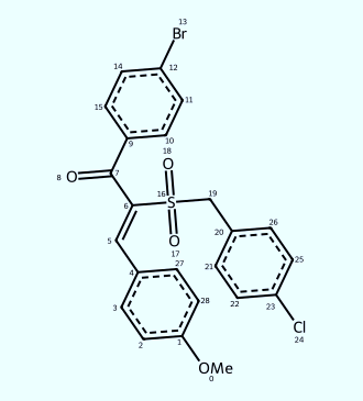 COc1ccc(C=C(C(=O)c2ccc(Br)cc2)S(=O)(=O)Cc2ccc(Cl)cc2)cc1